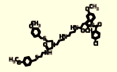 COc1ccc(CSCCNC(=O)CN(CCCNCCCNC(=O)Cc2c(C)n(C(=O)c3ccc(Cl)cc3)c3ccc(OC)cc23)CCSCc2ccc(OC)cc2)cc1